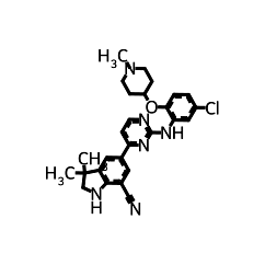 CN1CCC(Oc2ccc(Cl)cc2Nc2nccc(-c3cc(C#N)c4c(c3)C(C)(C)CN4)n2)CC1